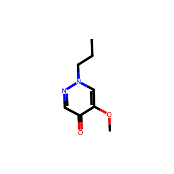 CCCn1cc(OC)c(=O)cn1